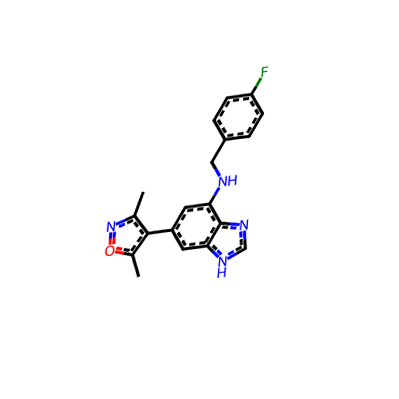 Cc1noc(C)c1-c1cc(NCc2ccc(F)cc2)c2nc[nH]c2c1